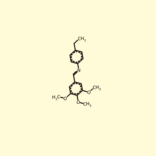 CCc1ccc(N=Cc2cc(OC)c(OC)c(OC)c2)cc1